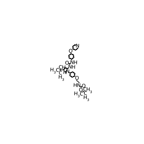 CC(C)(C)OC(=O)NCCOc1ccc(-n2nc(C(C)(C)C)cc2NC(=O)Nc2ccc(Oc3ccncc3)cc2)cc1